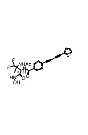 CC(=O)NC(C)(C(F)F)[C@H](NC(=O)c1ccc(C#CC#Cc2cccs2)cc1)C(=O)NO